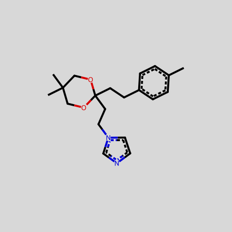 Cc1ccc(CCC2(CCn3ccnc3)OCC(C)(C)CO2)cc1